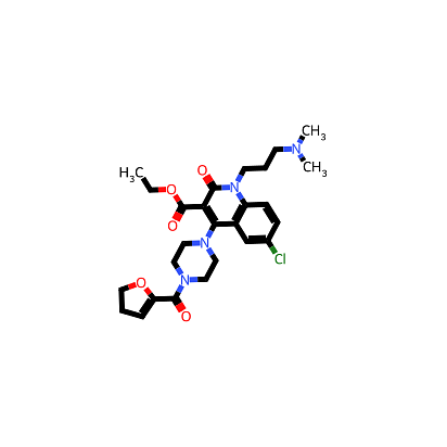 CCOC(=O)c1c(N2CCN(C(=O)C3=CCCO3)CC2)c2cc(Cl)ccc2n(CCCN(C)C)c1=O